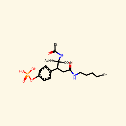 CCC(=O)NC(NC(C)=O)(C(=O)O)C(CC(=O)NCCCCC(C)C)c1ccc(OP(=O)(O)O)cc1